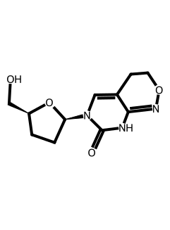 O=C1NC2=NOCCC2=CN1[C@H]1CC[C@@H](CO)O1